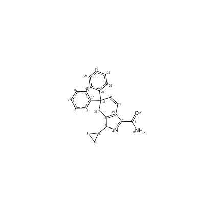 NC(=O)C1=NC(C2CC2)C2=C1C=CC(c1ccccc1)(c1ccccc1)C2